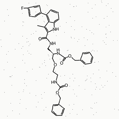 Cc1c(C(=O)NC[C@H](COCCNC(=O)OCc2ccccc2)NC(=O)OCc2ccccc2)[nH]c2cccc(-c3ccc(F)cc3)c12